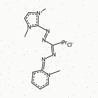 CC(C)C(N=Nc1n(C)cc[n+]1C)=NN=c1ccccn1C.[Cl-]